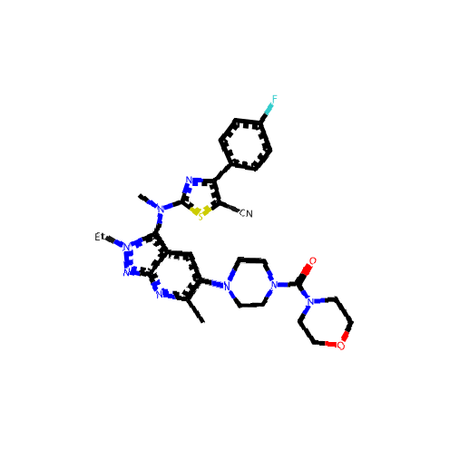 CCn1nc2nc(C)c(N3CCN(C(=O)N4CCOCC4)CC3)cc2c1N(C)c1nc(-c2ccc(F)cc2)c(C#N)s1